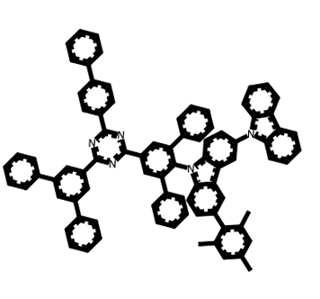 Cc1cc(C)c(-c2ccc3c(c2)c2cc(-n4c5ccccc5c5ccccc54)ccc2n3-c2c(-c3ccccc3)cc(-c3nc(-c4ccc(-c5ccccc5)cc4)nc(-c4cc(-c5ccccc5)cc(-c5ccccc5)c4)n3)cc2-c2ccccc2)c(C)c1